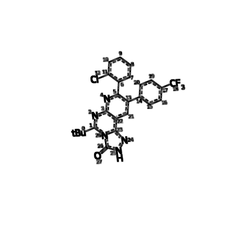 CC(C)(C)c1nc2nc(-c3ccccc3Cl)c(-c3ccc(C(F)(F)F)cc3)cc2c2n[nH]c(=O)n12